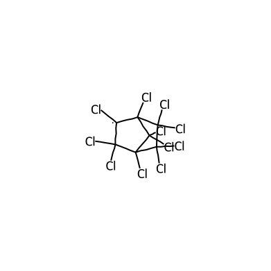 Cl[C]1C(Cl)(Cl)C2(Cl)C(Cl)(Cl)C(Cl)(Cl)C1(Cl)C2(Cl)Cl